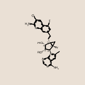 Cc1cc2c(N)ncnc2n1[C@H]1[C@H](O)[C@H](O)[C@@]2(CCc3cc(F)c4cc(Cl)c(N)nc4c3)C[C@H]12